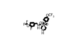 O=C(NCc1ccc(OC(F)F)c(F)c1)[C@H]1CNCCN1S(=O)(=O)c1ccc(OC(F)(F)F)cc1